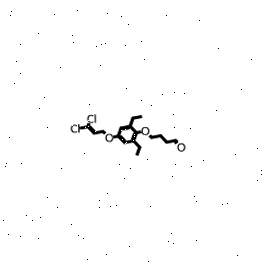 CCc1cc(OCC=C(Cl)Cl)cc(CC)c1OCCCC=O